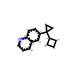 [CH]1CC1(c1ccc2ncccc2c1)C1CCC1